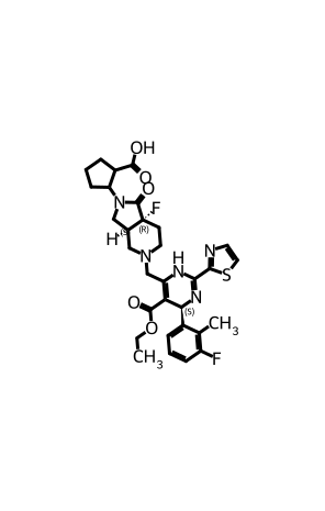 CCOC(=O)C1=C(CN2CC[C@]3(F)C(=O)N(C4CCCC4C(=O)O)C[C@@H]3C2)NC(c2nccs2)=N[C@H]1c1cccc(F)c1C